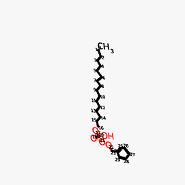 CCCCCCCCCCCCCCCCCOP(=O)(O)OOCc1ccccc1